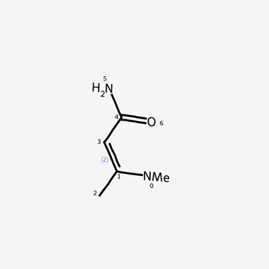 CN/C(C)=C\C(N)=O